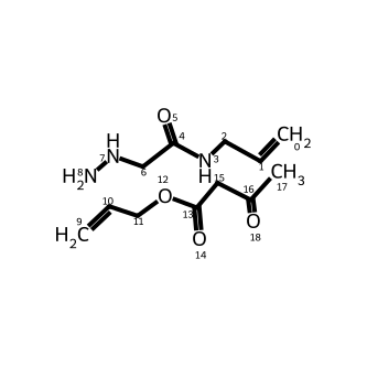 C=CCNC(=O)CNN.C=CCOC(=O)CC(C)=O